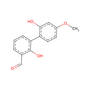 COc1ccc(-c2cccc(C=O)c2O)c(O)c1